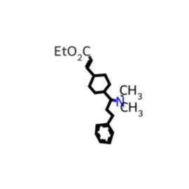 CCOC(=O)C=CC1CCC(C(CCc2ccccc2)N(C)C)CC1